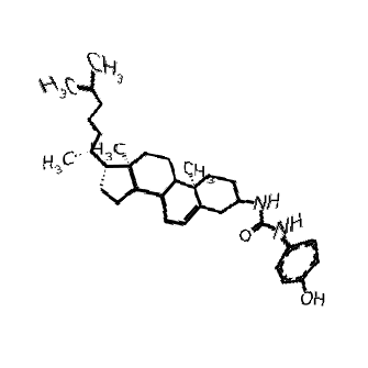 CC(C)CCC[C@@H](C)[C@H]1CCC2C3CC=C4CC(NC(=O)Nc5ccc(O)cc5)CC[C@]4(C)C3CC[C@@]21C